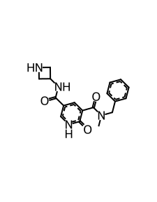 CN(Cc1ccccc1)C(=O)c1cc(C(=O)NC2CNC2)c[nH]c1=O